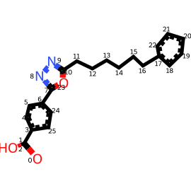 O=C(O)c1ccc(-c2nnc(CCCCCCc3ccccc3)o2)cc1